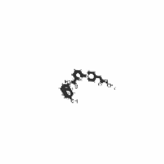 COC(=O)CC1CCN(c2cccc(C(=O)NC3C4CC5CC3CC(O)(C5)C4)n2)CC1